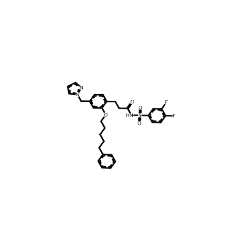 O=C(CCc1ccc(Cn2cccn2)cc1OCCCCCc1ccccc1)NS(=O)(=O)c1ccc(F)c(F)c1